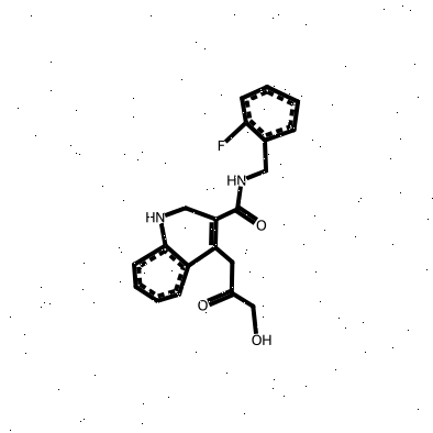 O=C(CO)CC1=C(C(=O)NCc2ccccc2F)CNc2ccccc21